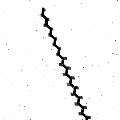 [CH2]C/C=C/CCCCCCCCCCCCCCCCCCC[CH2]